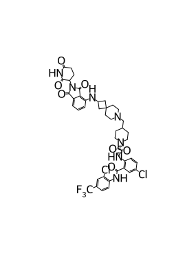 O=C1CCC(N2C(=O)c3cccc(NC4CC5(CCN(CC6CCN(S(=O)(=O)Nc7ccc(Cl)cc7C(=O)Nc7ccc(C(F)(F)F)cc7Cl)CC6)CC5)C4)c3C2=O)C(=O)N1